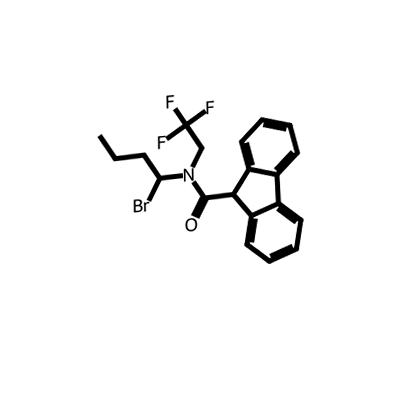 CCCC(Br)N(CC(F)(F)F)C(=O)C1c2ccccc2-c2ccccc21